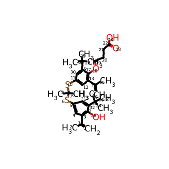 C=C(C)c1cc(SC(C)(C)Sc2cc(C(=C)C)c(OCCCC(=O)O)c(C(C)(C)C)c2)cc(C(C)(C)C)c1O